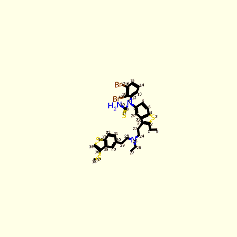 CCc1sc2ccc(N(C(N)=S)c3cccc(Br)c3Br)cc2c1CCN(CC)CCc1ccc2scc(SC)c2c1